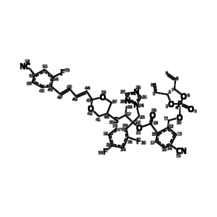 C=CCOP(=O)(OCC=C)OCc1cc(C#N)ccc1C(=O)OC(Cn1cncn1)(c1ccc(F)cc1F)C(C)SC1COC(C=CC=Cc2ccc(C#N)cc2F)OC1